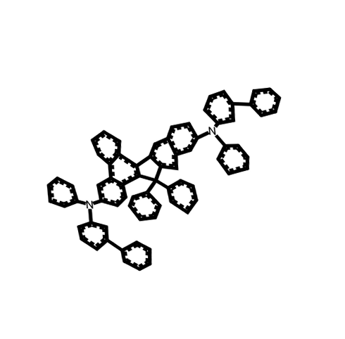 c1ccc(-c2cccc(N(c3ccccc3)c3ccc4cc5c(cc4c3)C(c3ccccc3)(c3ccccc3)c3c-5c4ccccc4c4cc(N(c5ccccc5)c5cccc(-c6ccccc6)c5)ccc34)c2)cc1